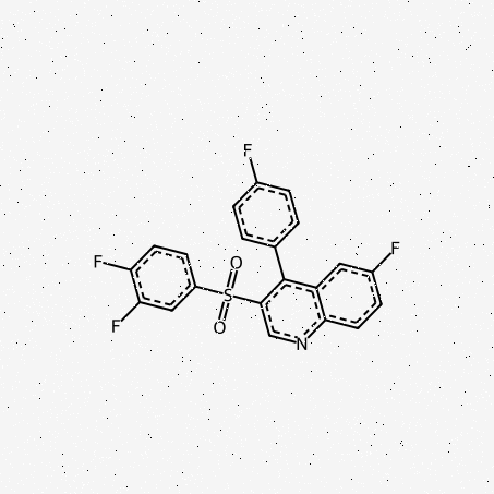 O=S(=O)(c1ccc(F)c(F)c1)c1cnc2ccc(F)cc2c1-c1ccc(F)cc1